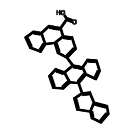 O=C(O)c1cc2ccccc2c2cc(-c3c4ccccc4c(-c4ccc5ccccc5c4)c4ccccc34)ccc12